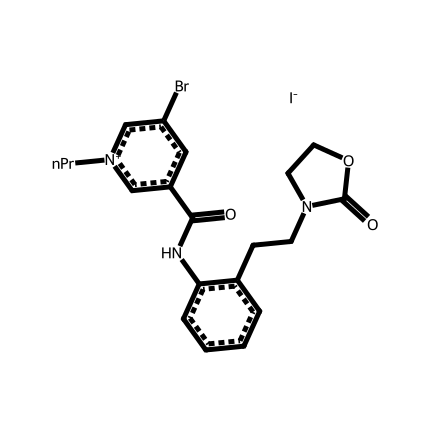 CCC[n+]1cc(Br)cc(C(=O)Nc2ccccc2CCN2CCOC2=O)c1.[I-]